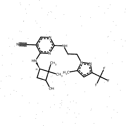 Cc1cc(C(F)(F)F)nn1CCNc1ncc(C#N)c(N[C@@H]2CC(O)C2(C)C)n1